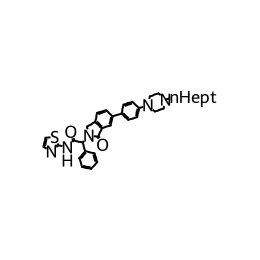 CCCCCCCN1CCN(c2ccc(-c3ccc4c(c3)C(=O)N(C(C(=O)Nc3nccs3)c3ccccc3)C4)cc2)CC1